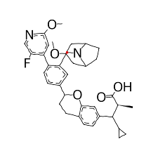 COc1cc(-c2ccc(C3CCc4ccc(C(C5CC5)[C@H](C)C(=O)O)cc4O3)cc2CN2C3CCC2CC(OC)C3)c(F)cn1